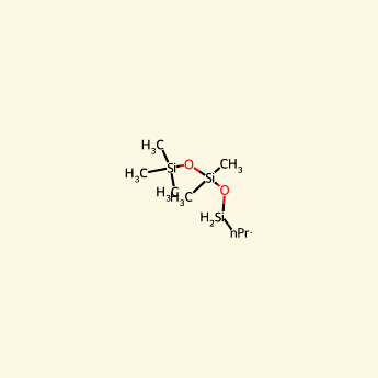 CC[CH][SiH2]O[Si](C)(C)O[Si](C)(C)C